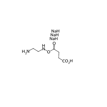 NCCNOC(=O)CCC(=O)O.[NaH].[NaH].[NaH]